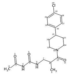 CC(=O)NC(=O)NCC(C)C(=O)N1CCC(c2ccc(Cl)cc2)CC1